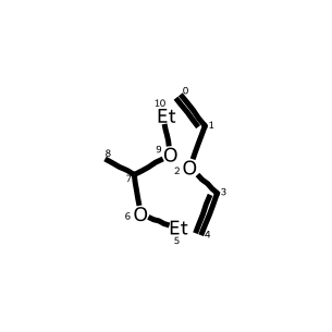 C=COC=C.CCOC(C)OCC